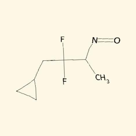 CC(N=O)C(F)(F)CC1CC1